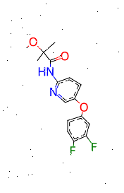 COC(C)(C)C(=O)Nc1ccc(Oc2ccc(F)c(F)c2)cn1